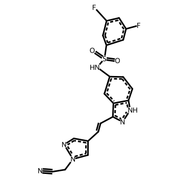 N#CCn1cc(/C=C/c2n[nH]c3ccc(NS(=O)(=O)c4cc(F)cc(F)c4)cc23)cn1